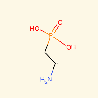 N[CH]CP(=O)(O)O